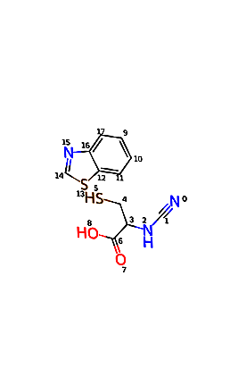 N#CNC(CS)C(=O)O.c1ccc2scnc2c1